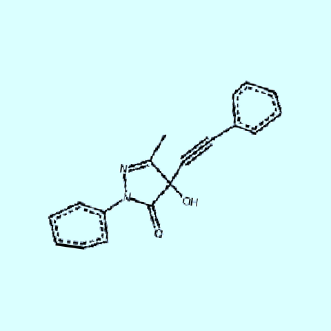 CC1=NN(c2ccccc2)C(=O)C1(O)C#Cc1ccccc1